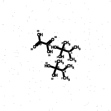 CP(C)C(C)(O)O.CP(C)C(C)(O)O.O=C(O)C(=O)O